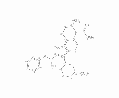 COC(=O)N1c2ccc3c(nc([C@H](O)Cc4ccccc4)n3[C@@H]3CCC[C@@H](C(=O)O)C3)c2CC[C@@H]1C